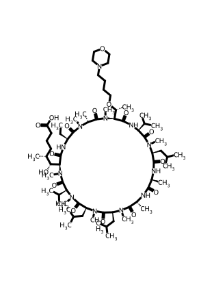 CC[C@@H]1NC(=O)[C@H]([C@H](O)[C@H](C)CCCC(=O)O)N(C)C(=O)[C@H](C(C)C)N(C)C(=O)[C@H](CC(C)C)N(C)C(=O)[C@H](CC(C)C)N(C)C(=O)[C@@H](C)NC(=O)[C@H](C)NC(=O)[C@H](CC(C)C)N(C)C(=O)[C@H](C(C)C)NC(=O)[C@H]([C@@H](C)OCCCCN2CCOCC2)N(C)C(=O)[C@@H](C)N(C)C1=O